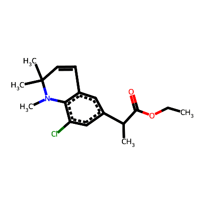 CCOC(=O)C(C)c1cc(Cl)c2c(c1)C=CC(C)(C)N2C